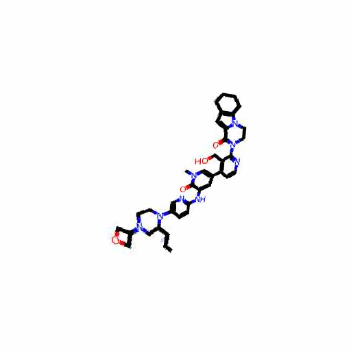 C/C=C/C1CN(C2COC2)CCN1c1ccc(Nc2cc(-c3ccnc(N4CCn5c(cc6c5CCCC6)C4=O)c3CO)cn(C)c2=O)nc1